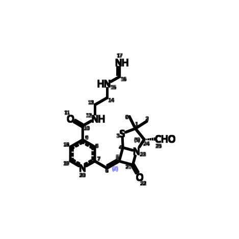 CC1(C)SC2/C(=C\c3cc(C(=O)NCCNC=N)ccn3)C(=O)N2[C@H]1C=O